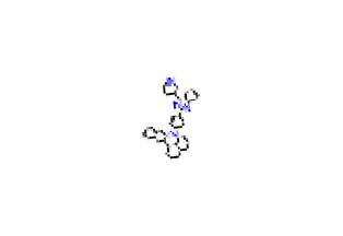 c1cncc(-c2nc(-c3ccc(N4c5cc6ccccc6cc5-c5cccc6cccc4c56)cc3)nc3ccccc23)c1